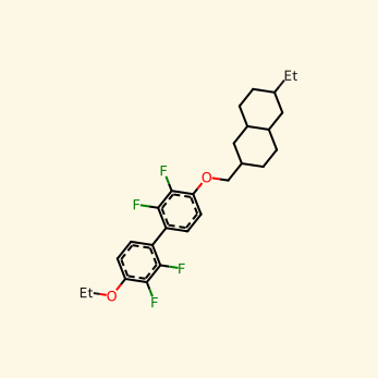 CCOc1ccc(-c2ccc(OCC3CCC4CC(CC)CCC4C3)c(F)c2F)c(F)c1F